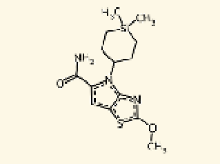 COc1nc2c(cc(C(N)=O)n2C2CC[Si](C)(C)CC2)s1